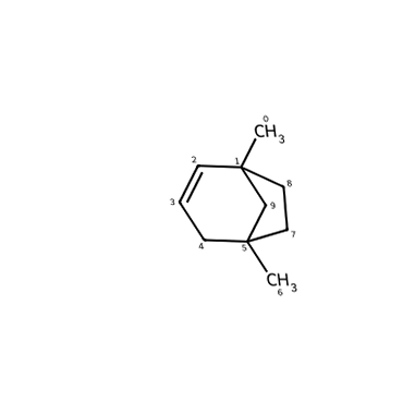 CC12C=CCC(C)(CC1)C2